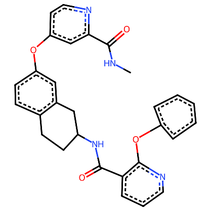 CNC(=O)c1cc(Oc2ccc3c(c2)CC(NC(=O)c2cccnc2Oc2ccccc2)CC3)ccn1